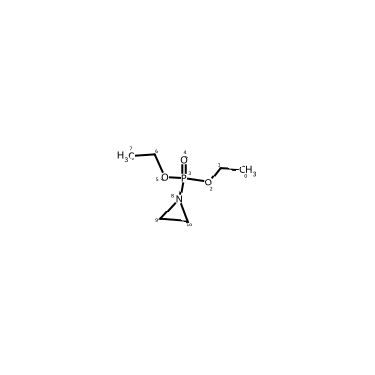 CCOP(=O)(OCC)N1CC1